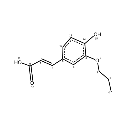 CCCOc1cc(C=CC(=O)O)ccc1O